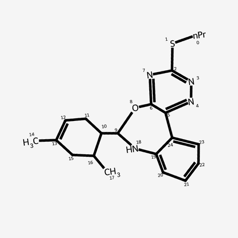 CCCSc1nnc2c(n1)OC(C1CC=C(C)CC1C)Nc1ccccc1-2